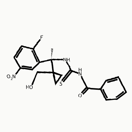 C[C@@](NC(=S)NC(=O)c1ccccc1)(c1cc([N+](=O)[O-])ccc1F)C1(CO)CC1